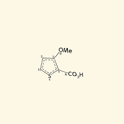 COc1c[c]sc1C(=O)O